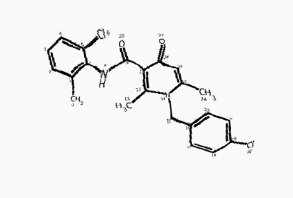 Cc1cccc(Cl)c1NC(=O)c1c(C)n(Cc2ccc(Cl)cc2)c(C)cc1=O